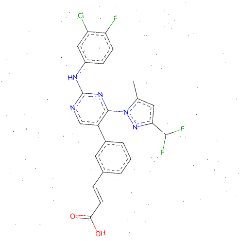 Cc1cc(C(F)F)nn1-c1nc(Nc2ccc(F)c(Cl)c2)ncc1-c1cccc(/C=C/C(=O)O)c1